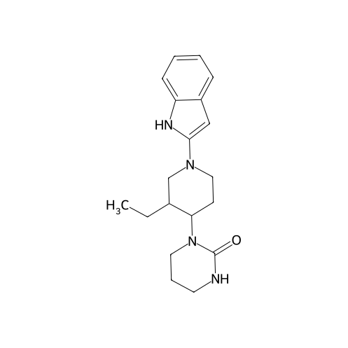 CCC1CN(c2cc3ccccc3[nH]2)CCC1N1CCCNC1=O